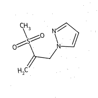 C=C(Cn1cccn1)S(C)(=O)=O